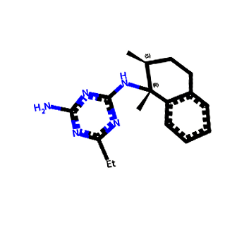 CCc1nc(N)nc(N[C@@]2(C)c3ccccc3CC[C@@H]2C)n1